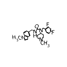 CN1CCC(N(Cc2ccc(F)cc2F)C(=O)NCc2ccc3c(ccn3C)c2)CC1